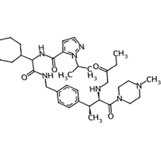 CCC(=O)CN[C@@H](C(=O)N1CCN(C)CC1)[C@@H](C)c1ccc(CNC(=O)C(NC(=O)c2ccnn2C(C)C)C2CCCCCC2)cc1